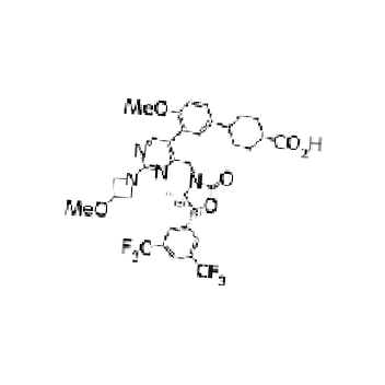 COc1ccc(C2CCC(C(=O)O)CC2)cc1-c1cnc(N2CC(OC)C2)nc1CN1C(=O)O[C@H](c2cc(C(F)(F)F)cc(C(F)(F)F)c2)[C@@H]1C